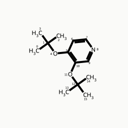 CC(C)(C)Oc1ccncc1OC(C)(C)C